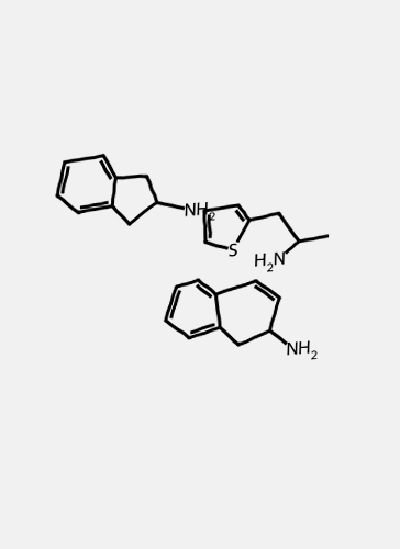 CC(N)Cc1cccs1.NC1C=Cc2ccccc2C1.NC1Cc2ccccc2C1